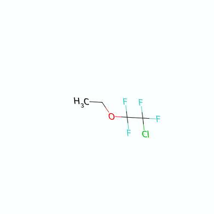 CCOC(F)(F)C(F)(F)Cl